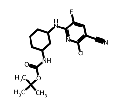 CC(C)(C)OC(=O)NC1CCCC(Nc2nc(Cl)c(C#N)cc2F)C1